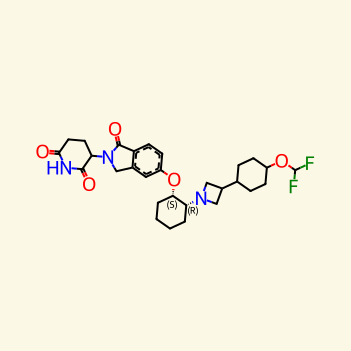 O=C1CCC(N2Cc3cc(O[C@H]4CCCC[C@H]4N4CC(C5CCC(OC(F)F)CC5)C4)ccc3C2=O)C(=O)N1